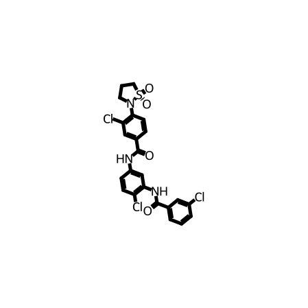 O=C(Nc1ccc(Cl)c(NC(=O)c2cccc(Cl)c2)c1)c1ccc(N2CCCS2(=O)=O)c(Cl)c1